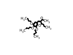 CCCCOc1cc(C=C(C(C)=O)C(=O)CCC)cc(OCCCC)c1OCCCC